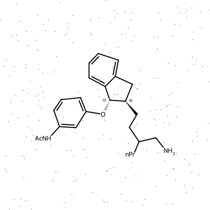 CCCC(CN)CC[C@@H]1Cc2ccccc2[C@H]1Oc1cccc(NC(C)=O)c1